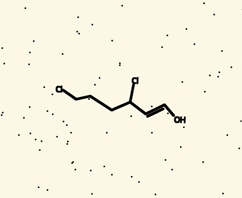 OC=CC(Cl)CCCCl